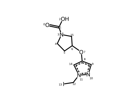 O=C(O)N1CCC(Oc2cnn(CI)c2)C1